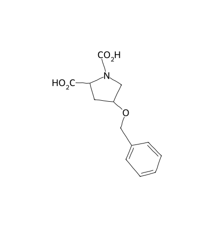 O=C(O)C1CC(OCc2ccccc2)CN1C(=O)O